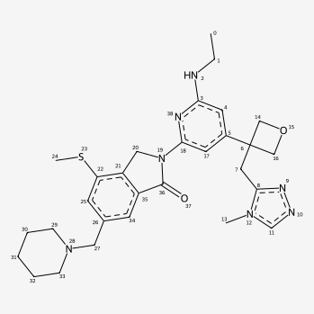 CCNc1cc(C2(Cc3nncn3C)COC2)cc(N2Cc3c(SC)cc(CN4CCCCC4)cc3C2=O)n1